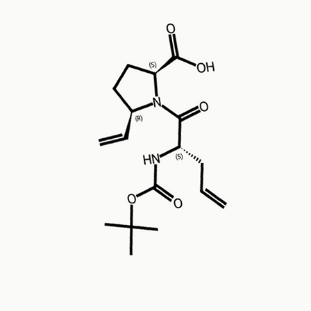 C=CC[C@H](NC(=O)OC(C)(C)C)C(=O)N1[C@@H](C=C)CC[C@H]1C(=O)O